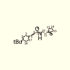 CC(C)(C)c1ccc(C#CC(=O)NCCc2cccs2)cc1